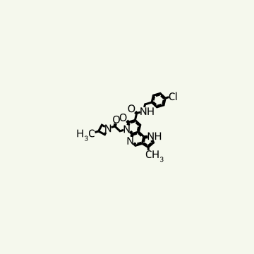 Cc1c[nH]c2c1cnc1c2cc(C(=O)NCc2ccc(Cl)cc2)c(=O)n1CC(=O)N1CC(C)C1